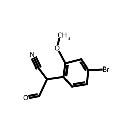 COc1cc(Br)ccc1C(C#N)C=O